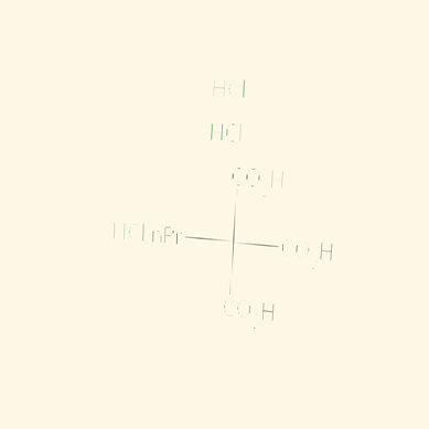 CCCC(C(=O)O)(C(=O)O)C(=O)O.Cl.Cl.Cl